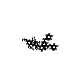 Cc1cc(O)cc(C)c1C[C@H](N)C(=O)N[C@@H]1CCNc2c(CCc3ccccc3)cc(Cc3ccccc3)cc21